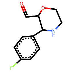 O=CC1OCCNC1c1ccc(F)cc1